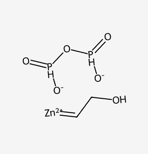 O=[PH]([O-])O[PH](=O)[O-].OC[CH]=[Zn+2]